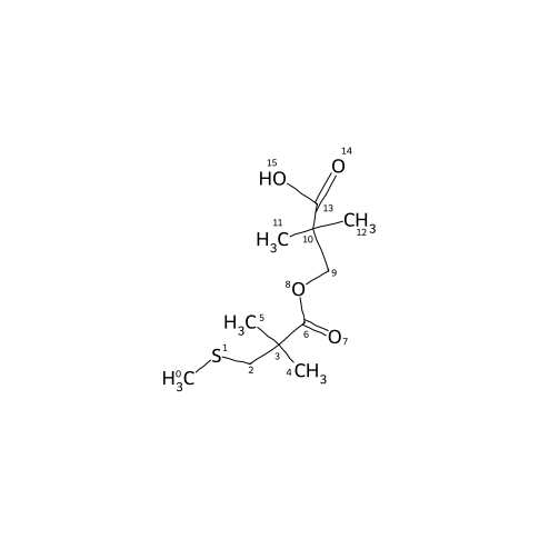 CSCC(C)(C)C(=O)OCC(C)(C)C(=O)O